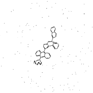 c1ccc2cc(-c3cc4ccc(-c5c6ccccc6c(-c6cncnc6)c6ccccc56)cc4c4ccccc34)ccc2c1